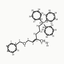 C/C(=C/COCc1ccccc1)CCC[P+](c1ccccc1)(c1ccccc1)c1ccccc1.[I-]